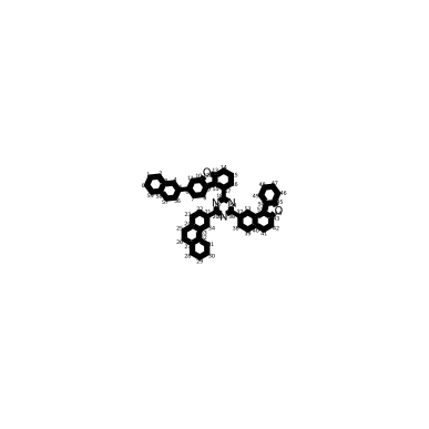 c1ccc2cc(-c3ccc4c(c3)oc3cccc(-c5nc(-c6ccc7ccc8ccccc8c7c6)nc(-c6ccc7ccc8oc9ccccc9c8c7c6)n5)c34)ccc2c1